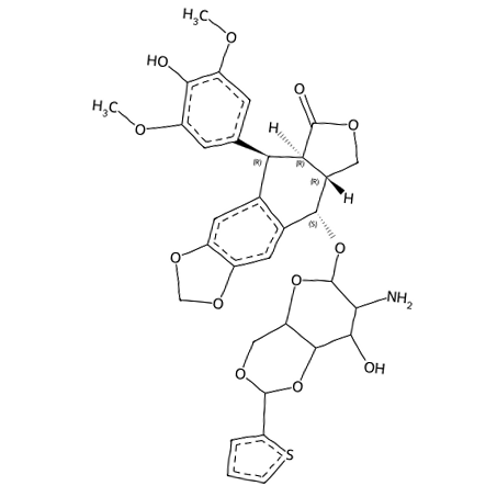 COc1cc([C@@H]2c3cc4c(cc3[C@@H](OC3OC5COC(c6cccs6)OC5C(O)C3N)[C@H]3COC(=O)[C@H]23)OCO4)cc(OC)c1O